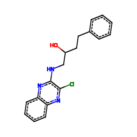 OC(CCc1ccccc1)CNc1nc2ccccc2nc1Cl